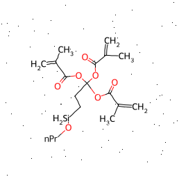 C=C(C)C(=O)OC(CC[SiH2]OCCC)(OC(=O)C(=C)C)OC(=O)C(=C)C